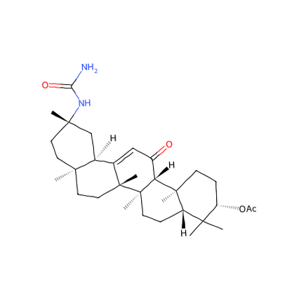 CC(=O)O[C@H]1CC[C@]2(C)[C@H]3C(=O)C=C4[C@@H]5C[C@@](C)(NC(N)=O)CC[C@]5(C)CC[C@@]4(C)[C@]3(C)CC[C@H]2C1(C)C